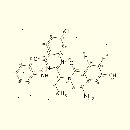 CCC(c1nc2cc(Cl)ccc2c(=O)n1Nc1ccccc1)N(CCN)C(=O)c1ccc(C)c(F)c1F